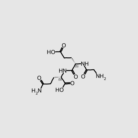 NCC(=O)N[C@@H](CCC(=O)O)C(=O)N[C@@H](CCC(N)=O)C(=O)O